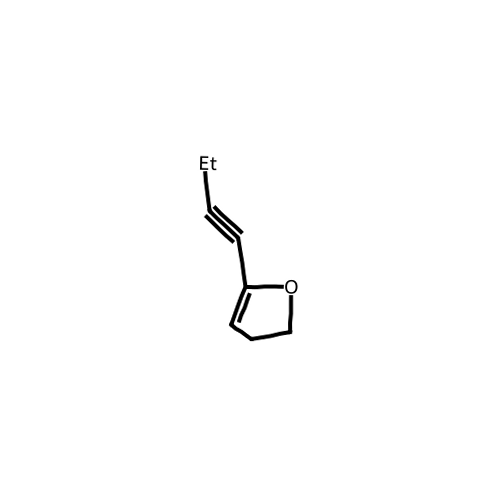 CCC#CC1=CCCO1